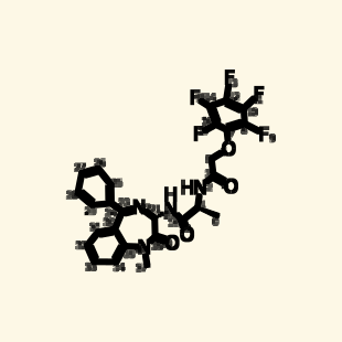 C[C@H](NC(=O)COc1c(F)c(F)c(F)c(F)c1F)C(=O)N[C@H]1N=C(c2ccccc2)c2ccccc2N(C)C1=O